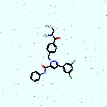 NC(CC(=O)O)C(=O)c1ccc(Cn2nc(-c3cc(Cl)cc(Cl)c3)cc2C(=O)Nc2ccccc2)cc1